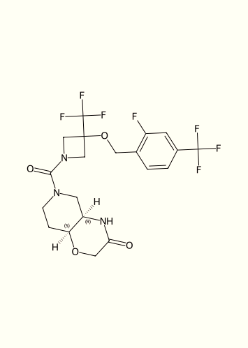 O=C1CO[C@H]2CCN(C(=O)N3CC(OCc4ccc(C(F)(F)F)cc4F)(C(F)(F)F)C3)C[C@H]2N1